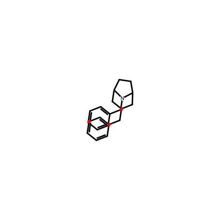 c1ccc(CC2CC3CCC(C2)N3Cc2ccccc2)cc1